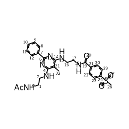 CC(=O)NCCNc1nc(-c2ccccc2)nc(NCCNC(=O)c2ccc(S(C)(=O)=O)cc2)c1C